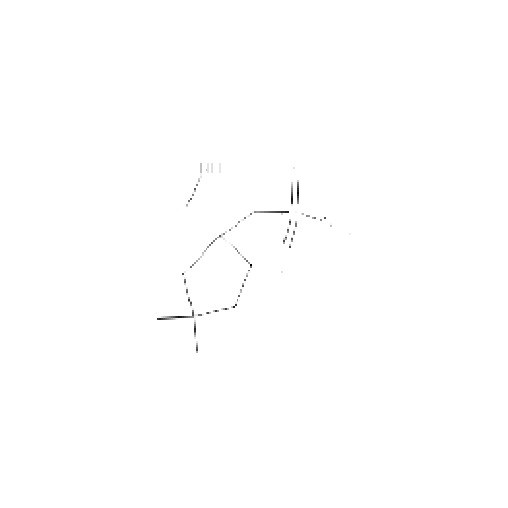 CC1(C)CC[C@](CN)(CS(N)(=O)=O)C1